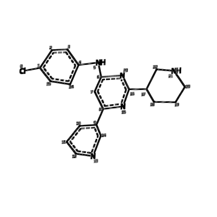 Clc1ccc(Nc2cc(-c3cccnc3)nc(C3CCCNC3)n2)cc1